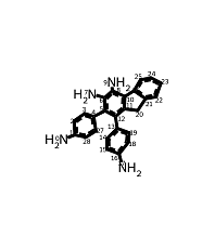 Nc1ccc(-c2c(N)c(N)c3c(c2-c2ccc(N)cc2)Cc2ccccc2-3)cc1